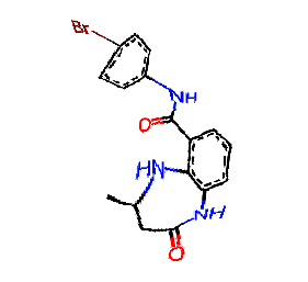 C[C@@H]1CC(=O)Nc2cccc(C(=O)Nc3ccc(Br)cc3)c2N1